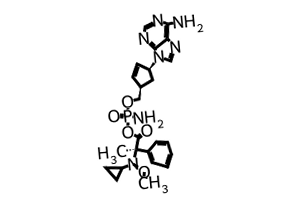 CON(C1CC1)[C@@](C)(C(=O)OP(N)(=O)OC[C@H]1C=C[C@@H](n2cnc3c(N)ncnc32)C1)c1ccccc1